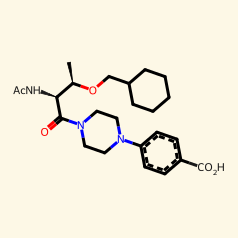 CC(=O)N[C@H](C(=O)N1CCN(c2ccc(C(=O)O)cc2)CC1)[C@@H](C)OCC1CCCCC1